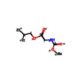 CCC(CC)COC(=O)CNC(=O)OC(C)(C)C